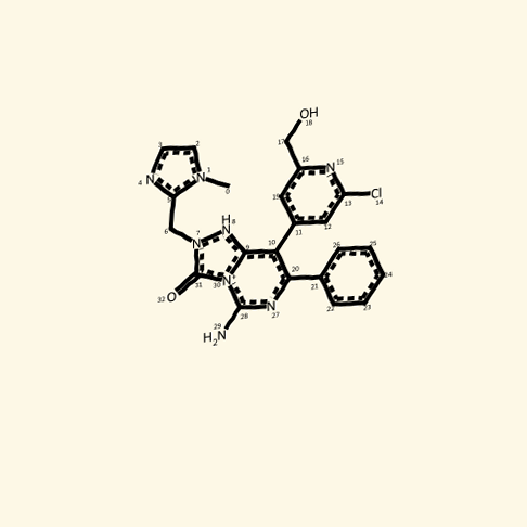 Cn1ccnc1Cn1[nH]c2c(-c3cc(Cl)nc(CO)c3)c(-c3ccccc3)nc(N)[n+]2c1=O